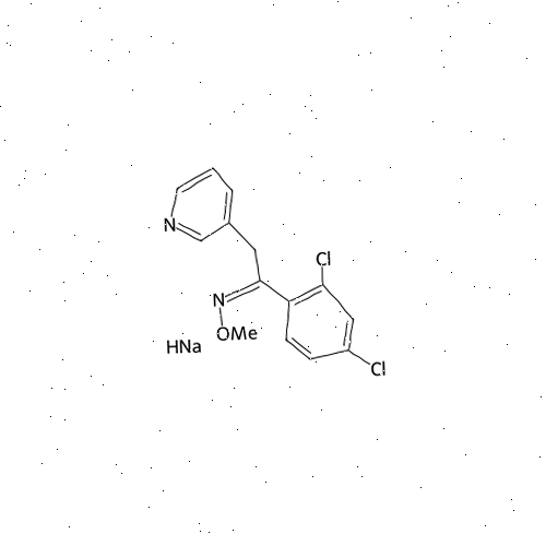 CON=C(Cc1cccnc1)c1ccc(Cl)cc1Cl.[NaH]